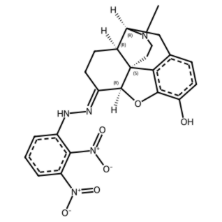 CN1CC[C@]23c4c5ccc(O)c4O[C@H]2C(=NNc2cccc([N+](=O)[O-])c2[N+](=O)[O-])CC[C@H]3[C@H]1C5